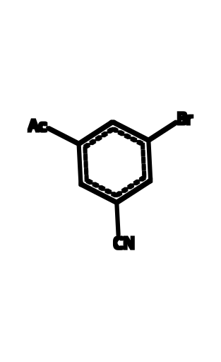 CC(=O)c1cc(Br)cc(C#N)c1